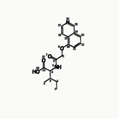 CCC(C)C(NC(=O)COc1cccc2cnccc12)C(=O)O